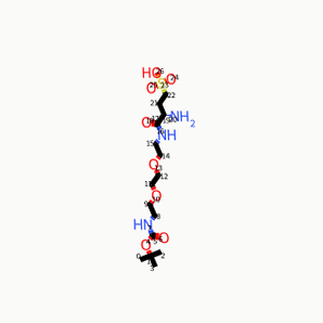 CC(C)(C)OC(=O)NCCOCCOCCNC(=O)[C@@H](N)CCS(=O)(=O)O